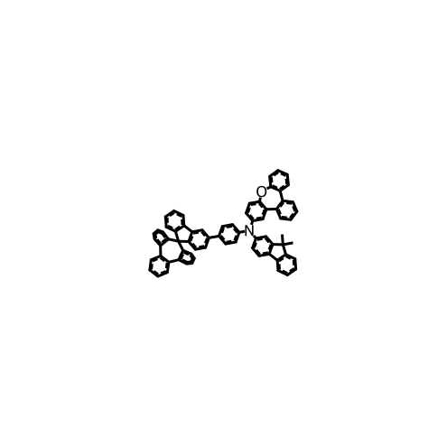 CC1(C)c2ccccc2-c2ccc(N(c3ccc(-c4ccc5c(c4)-c4ccccc4C54c5ccccc5-c5ccccc5-c5ccccc54)cc3)c3ccc4c(c3)-c3ccccc3-c3ccccc3O4)cc21